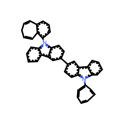 C1=CC=CC=CC=1n1c2ccccc2c2cc(-c3ccc4c(c3)c3ccccc3n4-c3cccc4c3C=CCC=C4)ccc21